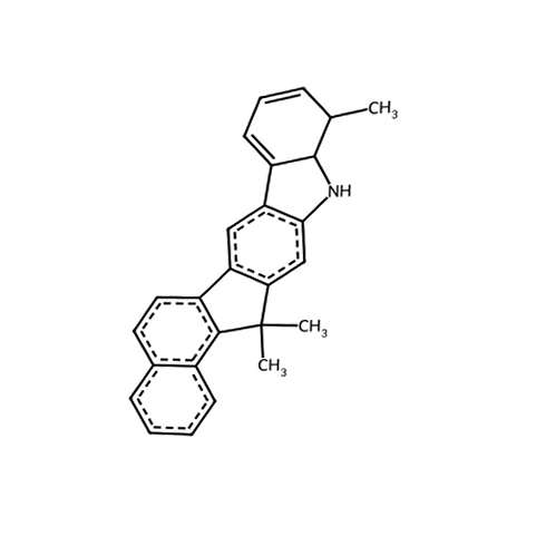 CC1C=CC=C2c3cc4c(cc3NC21)C(C)(C)c1c-4ccc2ccccc12